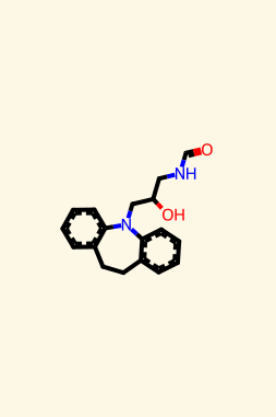 O=CNCC(O)CN1c2ccccc2CCc2ccccc21